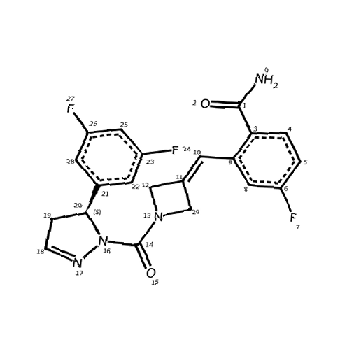 NC(=O)c1ccc(F)cc1C=C1CN(C(=O)N2N=CC[C@H]2c2cc(F)cc(F)c2)C1